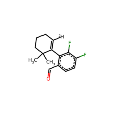 [2H]C1=C(c2c(C=O)ccc(F)c2F)C(C)(C)CCC1